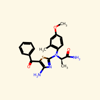 COc1ccc(N(c2nc(N)c(C(=O)c3ccccc3)s2)[C@H](C)C(N)=O)c(C)c1